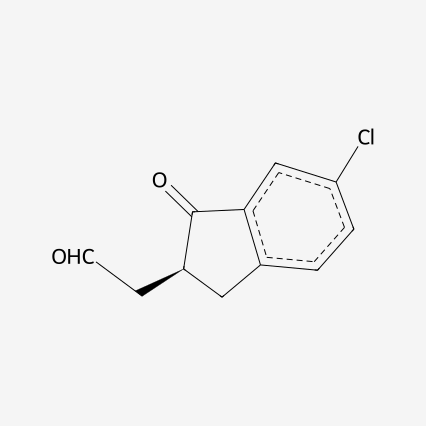 O=CC[C@@H]1Cc2ccc(Cl)cc2C1=O